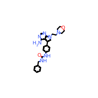 Nc1ncnc2c1c(-c1ccc(NC(=O)NCc3ccccc3)cc1)cn2CCN1CCOCC1